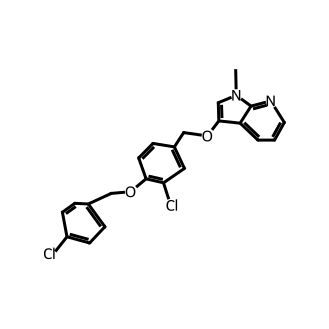 Cn1cc(OCc2ccc(OCc3ccc(Cl)cc3)c(Cl)c2)c2cccnc21